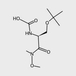 CON(C)C(=O)[C@H](COC(C)(C)C)NC(=O)O